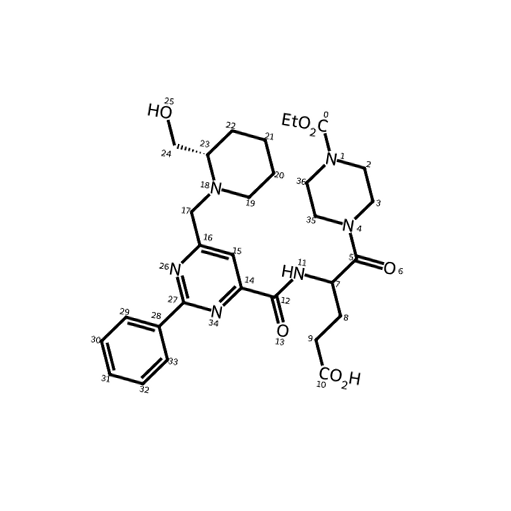 CCOC(=O)N1CCN(C(=O)C(CCC(=O)O)NC(=O)c2cc(CN3CCCC[C@H]3CO)nc(-c3ccccc3)n2)CC1